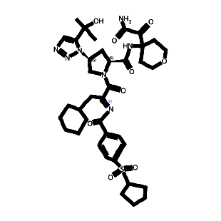 CC(C)(O)c1cnnn1[C@H]1C[C@@H](C(=O)NC2(C(=O)C(N)=O)CCOCC2)N(C(=O)/C(CC2CCCCC2)=N/C(=O)c2ccc(S(=O)(=O)C3CCCC3)cc2)C1